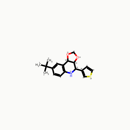 CC(C)(C)c1ccc2c(c1)C1OCOC1C(c1ccsc1)N2